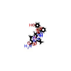 CC1(C)C2CN(C(=O)[C@@H](NC(=O)NC3(CS(=O)(=O)c4cccc(O)c4)CCCCC3)C(C)(C)C)[C@H](C(=O)NC(CC3CC3)C(=O)C(N)=O)C21